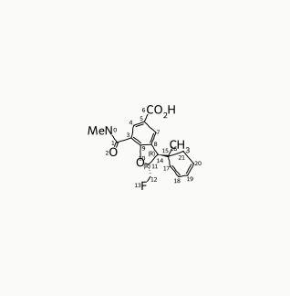 CNC(=O)c1cc(C(=O)O)cc2c1O[C@@H](CF)[C@@H]2C1(C)C=CC=CC1